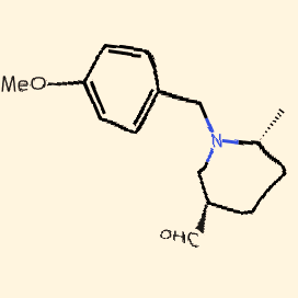 COc1ccc(CN2C[C@H](C=O)CC[C@H]2C)cc1